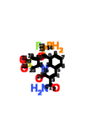 NC(=O)c1cc2cccc(C(=O)P(F)P)c2n([C@@H]2C=CS(=O)(=O)C2)c1=O